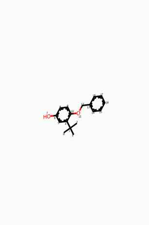 CC(C)(C)c1cc(O)ccc1OCc1ccccc1